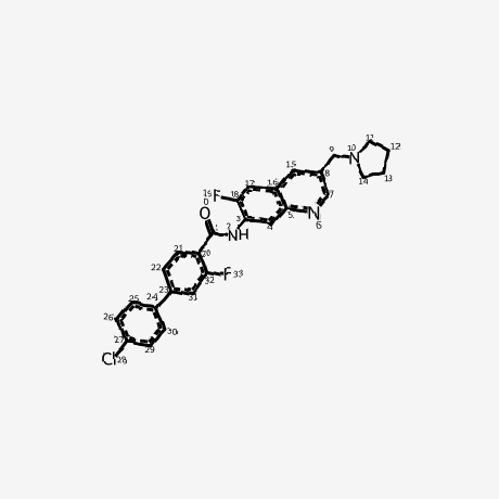 O=C(Nc1cc2ncc(CN3CCCC3)cc2cc1F)c1ccc(-c2ccc(Cl)cc2)cc1F